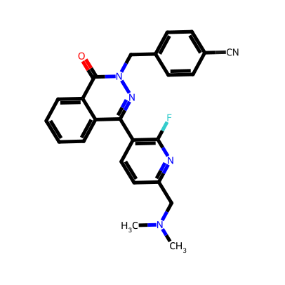 CN(C)Cc1ccc(-c2nn(Cc3ccc(C#N)cc3)c(=O)c3ccccc23)c(F)n1